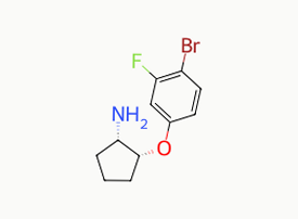 N[C@H]1CCC[C@H]1Oc1ccc(Br)c(F)c1